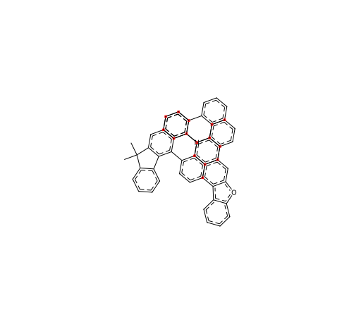 CC1(C)c2ccccc2-c2c(-c3ccccc3N(c3ccccc3-c3ccc4c(c3)oc3ccccc34)c3ccccc3-c3ccccc3-c3ccccc3-c3ccccc3)cccc21